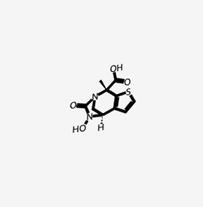 C[C@@]1(C(=O)O)c2sccc2[C@@H]2CN1C(=O)N2O